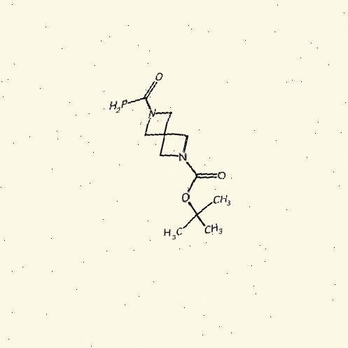 CC(C)(C)OC(=O)N1CC2(CN(C(=O)P)C2)C1